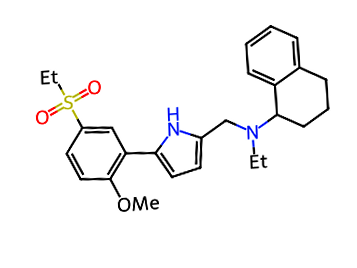 CCN(Cc1ccc(-c2cc(S(=O)(=O)CC)ccc2OC)[nH]1)C1CCCc2ccccc21